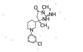 CN1C(=N)N[C@](C)(C2CCCN(c3cccc(Cl)c3)C2)CC1=O